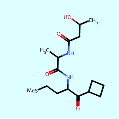 CSCCC(NC(=O)C(C)NC(=O)CC(C)O)C(=O)C1CCC1